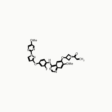 C=CC(=O)N1CC(Oc2cc3c(Nc4ccc(Oc5ccn(-c6ncc(OC)cn6)n5)cc4F)ncnc3cc2OC)C1